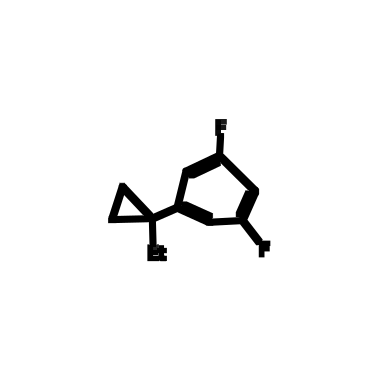 CCC1(c2cc(F)cc(F)c2)CC1